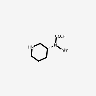 CCCN(C(=O)O)[C@@H]1CCCNC1